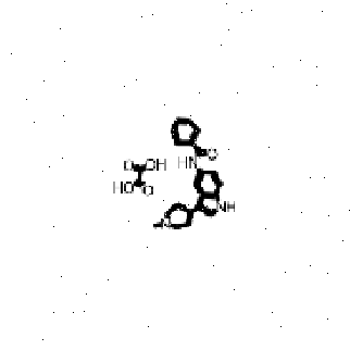 CN1CCC(c2c[nH]c3ccc(NC(=O)c4ccccc4)cc23)CC1.O=C(O)C(=O)O